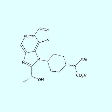 C[C@@H](O)c1nc2cnc3ccsc3c2n1C1CCC(N(C(=O)O)C(C)(C)C)CC1